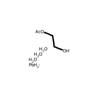 CC(=O)OCCO.O.O.O.[PbH2]